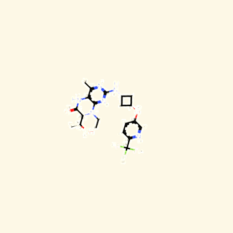 CCN1c2nc(N[C@H]3C[C@H](Oc4ccc(C(F)(F)F)nc4)C3)nc(C)c2NC(=O)[C@@H]1[C@H](C)O